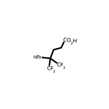 CCCC(CCC(=O)O)(C(F)(F)F)C(F)(F)F